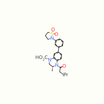 CC(C)CC(=O)N1c2ccc(-c3cccc(N4CCCS4(=O)=O)c3)cc2N(C(=O)O)C[C@@H]1C